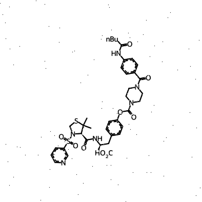 CCCCC(=O)Nc1ccc(C(=O)N2CCN(C(=O)Oc3ccc(C[C@H](NC(=O)[C@H]4N(S(=O)(=O)c5cccnc5)CSC4(C)C)C(=O)O)cc3)CC2)cc1